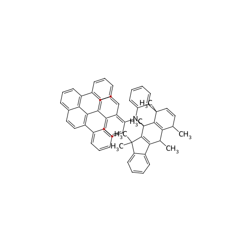 CC1C=CC2(C)C3=C1C(C)C1=C(C(C)(C)c4ccccc41)C3(C)N(c1cccc3c(-c4c(-c5ccccc5)ccc5cccc(-c6ccccc6)c45)cccc13)c1ccccc12